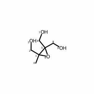 CC1(CO)OC1(CO)CO